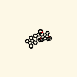 c1ccc(-c2ccccc2C2(c3ccccc3-c3ccccc3)c3ccccc3-c3ccc(N(c4cccc5c4-c4ccccc4C54c5ccccc5-c5ccccc54)c4cccc5c4oc4ccccc45)cc32)cc1